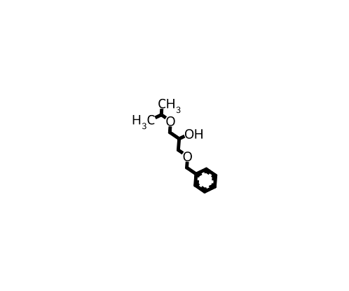 CC(C)OCC(O)COCc1ccccc1